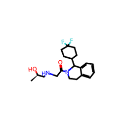 C[C@@H](O)CNCC(=O)N1CCc2ccccc2C1C1CCC(F)(F)CC1